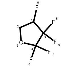 FC1COC(F)(F)C1(F)F